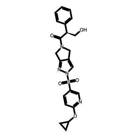 O=C([C@H](CO)c1ccccc1)N1Cc2cn(S(=O)(=O)c3ccc(OC4CC4)nc3)nc2C1